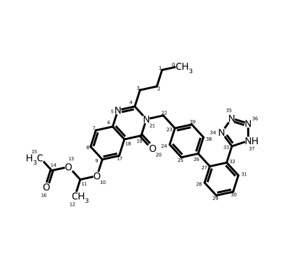 CCCCc1nc2ccc(OC(C)OC(C)=O)cc2c(=O)n1Cc1ccc(-c2ccccc2-c2nnn[nH]2)cc1